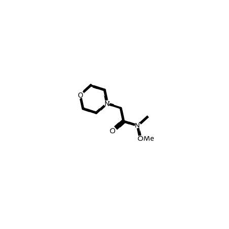 CON(C)C(=O)CN1CCOCC1